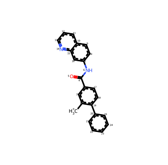 Cc1cc(C(=O)Nc2ccc3cccnc3c2)ccc1-c1ccccc1